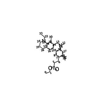 CCOC(=O)CCc1ccc(N(C)Cc2ccc3c(c2C)N(CC)CCC3)cc1F